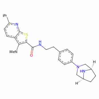 CNc1c(C(=O)NCCc2ccc(N3C[C@H]4CC[C@@H](C3)N4)cc2)sc2nc(C(C)C)ccc12